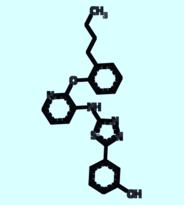 CCCCc1ccccc1Oc1ncccc1Nc1nnc(-c2cccc(O)c2)s1